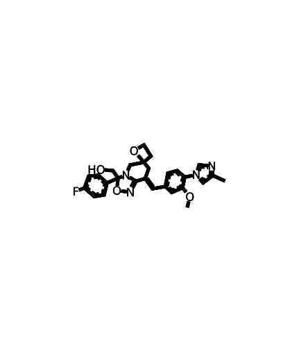 COc1cc(/C=C2\CC3(CCO3)CN3C2=NOC3(CO)c2ccc(F)cc2)ccc1-n1cnc(C)c1